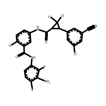 N#Cc1cc(Cl)cc(C2C(C(=O)Nc3ccc(Cl)c(C(=O)Nc4ccc(F)c(N)c4F)c3)C2(Cl)Cl)c1